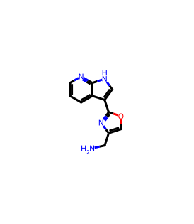 NCc1coc(-c2c[nH]c3ncccc23)n1